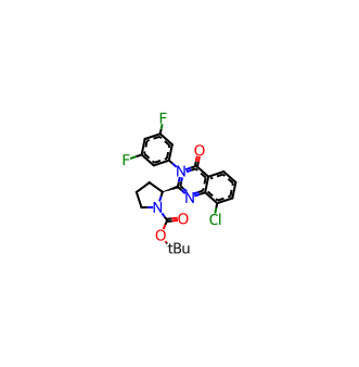 CC(C)(C)OC(=O)N1CCC[C@H]1c1nc2c(Cl)cccc2c(=O)n1-c1cc(F)cc(F)c1